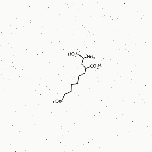 CCCCCCCCCCCCCCCCC(C[C@H](N)C(=O)O)C(=O)O